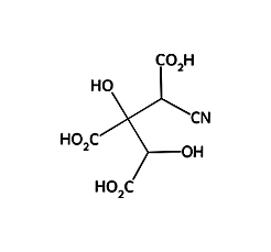 N#CC(C(=O)O)C(O)(C(=O)O)C(O)C(=O)O